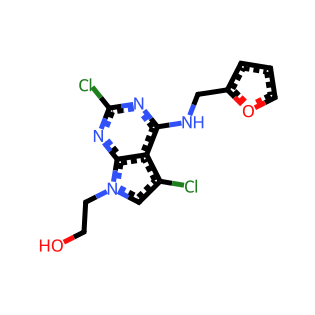 OCCn1cc(Cl)c2c(NCc3ccco3)nc(Cl)nc21